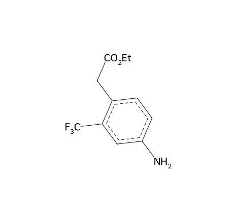 CCOC(=O)Cc1ccc(N)cc1C(F)(F)F